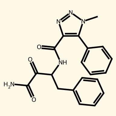 Cn1nnc(C(=O)NC(Cc2ccccc2)C(=O)C(N)=O)c1-c1ccccc1